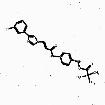 CC(C)(C)C(=O)ONc1ccc(NC(=O)/C=C/n2cnc(-c3cccc(Cl)c3)n2)cc1